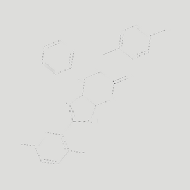 O=C1Oc2[nH]c(-c3cc(F)ccc3F)nc2[C@H](c2ccccc2)[C@@H]1Cc1ccc(Br)cc1